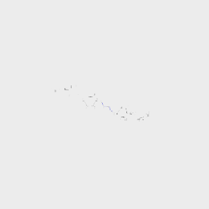 CCCCC(CC)CCCc1ccc(/C=C/C=C/c2ccc(OCC(CC)CCCC)cc2)cc1